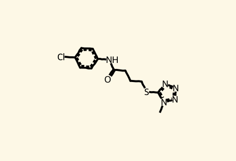 Cn1nnnc1SCCCC(=O)Nc1ccc(Cl)cc1